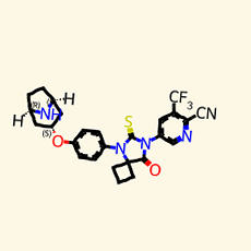 N#Cc1ncc(N2C(=O)C3(CCC3)N(c3ccc(O[C@@H]4C[C@H]5CC[C@@H](C4)N5)cc3)C2=S)cc1C(F)(F)F